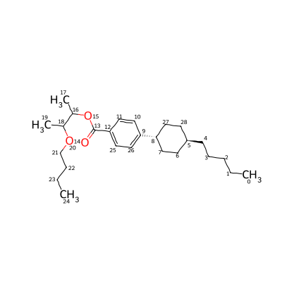 CCCCC[C@H]1CC[C@H](c2ccc(C(=O)OC(C)C(C)OCCCC)cc2)CC1